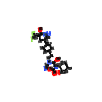 N#CN(CCc1ccc(-c2c[nH]c(=O)c(C(F)F)c2)cc1)C(=O)N(C(=O)O)C1CCCCC1